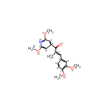 COc1cc(C(=O)/C(C)=C/c2ccc(OC)c(OC)c2)cc(OC)n1